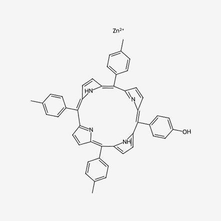 Cc1ccc(-c2c3nc(c(-c4ccc(C)cc4)c4ccc([nH]4)c(-c4ccc(O)cc4)c4nc(c(-c5ccc(C)cc5)c5ccc2[nH]5)C=C4)C=C3)cc1.[Zn+2]